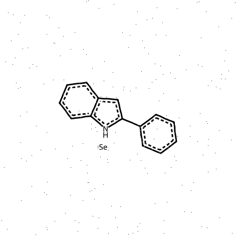 [Se].c1ccc(-c2cc3ccccc3[nH]2)cc1